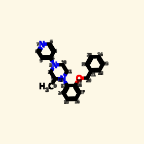 CC1CN(c2ccncc2)CCN1c1ccccc1OCc1ccccc1